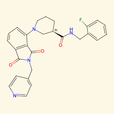 O=C(NCc1ccccc1F)[C@@H]1CCCN(c2cccc3c2C(=O)N(Cc2ccncc2)C3=O)C1